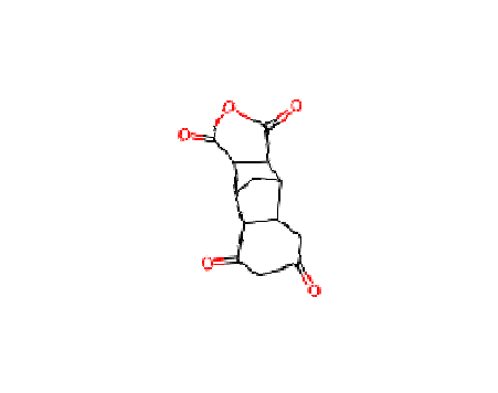 O=C1CC(=O)C2C(C1)C1CC2C2C(=O)OC(=O)C12